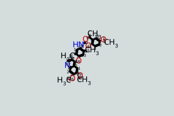 COc1cccc(C(C)OC(=O)Nc2cc(C)c(Oc3ccnc4cc(OC)c(OC)cc34)cc2C)c1